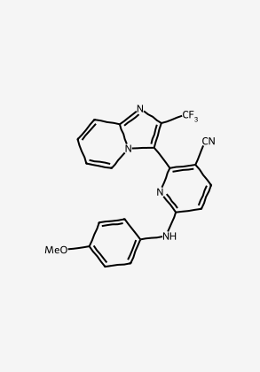 COc1ccc(Nc2ccc(C#N)c(-c3c(C(F)(F)F)nc4ccccn34)n2)cc1